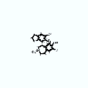 CN1CCc2cc(Cl)c(O)cc2[C@@H](c2c(Cl)c(Cl)cc3c2OCC3)C1